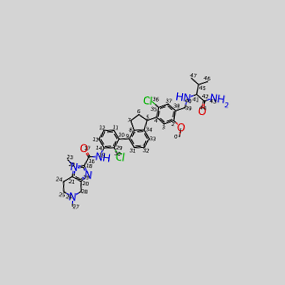 COc1cc(C2CCc3c(-c4cccc(NC(=O)c5nc6c(n5C)CCN(C)C6)c4Cl)cccc32)c(Cl)cc1CNC(C(N)=O)C(C)C